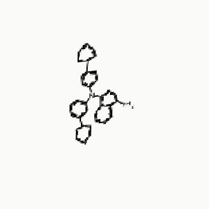 Bc1ccc(N(c2ccc(-c3ccccc3)cc2)c2cccc(-c3ccccc3)c2)c2ccccc12